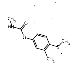 CNC(=O)Oc1ccc(SC)c(C)c1